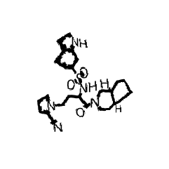 N#Cc1cccn1CCC(NS(=O)(=O)c1ccc2cc[nH]c2c1)C(=O)N1CC[C@H]2CCCC[C@H]2C1